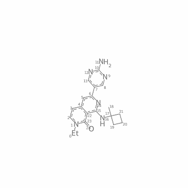 CCn1ccc2cc(-c3cnc(N)nc3)nc(NC3(C)CCC3)c2c1=O